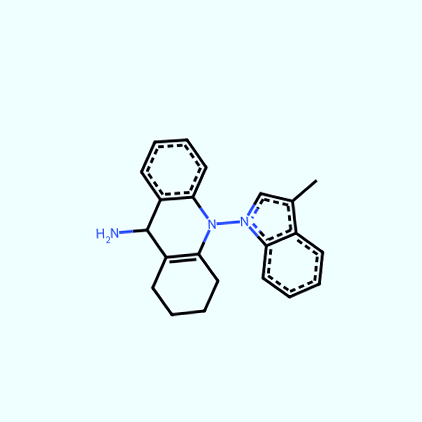 Cc1cn(N2C3=C(CCCC3)C(N)c3ccccc32)c2ccccc12